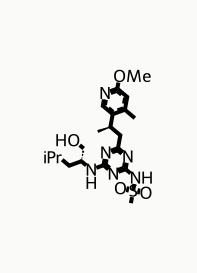 COc1cc(C)c([C@H](C)Cc2nc(N[C@@H](CO)CC(C)C)nc(NS(C)(=O)=O)n2)cn1